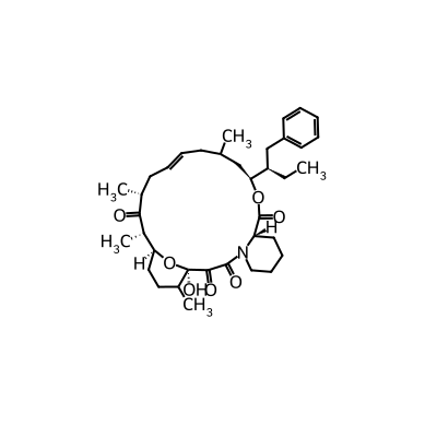 CC[C@H](Cc1ccccc1)[C@@H]1CC(C)C/C=C/C[C@@H](C)C(=O)[C@@H](C)[C@@H]2CCC(C)[C@@](O)(O2)C(=O)C(=O)N2CCCC[C@H]2C(=O)O1